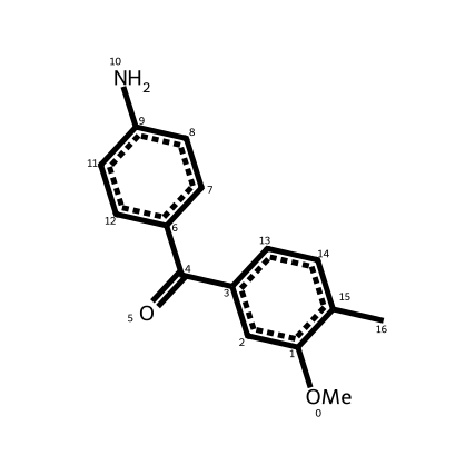 COc1cc(C(=O)c2ccc(N)cc2)ccc1C